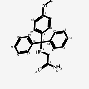 COc1ccc(C(NCC(N)=O)(c2ccccc2)c2ccccc2)cc1